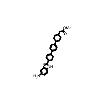 COC(=O)CC1CCC(c2ccc(C3=CC=C(c4nc5cc(N)ccc5[nH]4)CC3)cc2)CC1